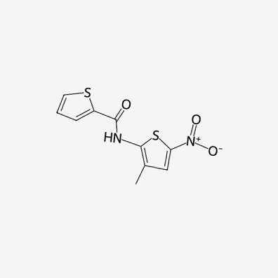 Cc1cc([N+](=O)[O-])sc1NC(=O)c1cccs1